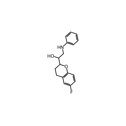 OC(CNc1ccccc1)C1CCc2cc(F)ccc2O1